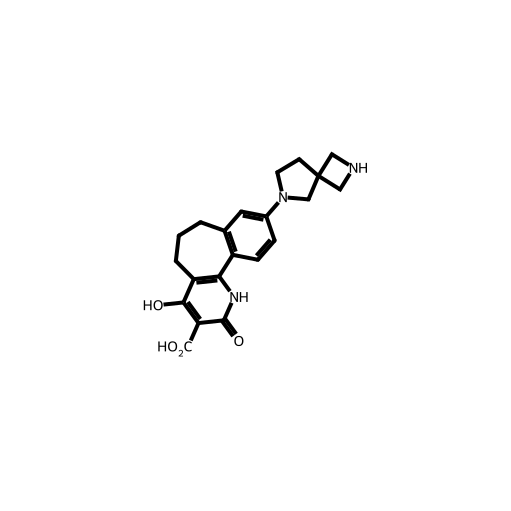 O=C(O)c1c(O)c2c([nH]c1=O)-c1ccc(N3CCC4(CNC4)C3)cc1CCC2